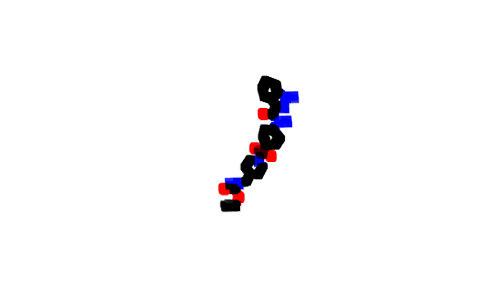 CC(C)(C)OC(=O)NCC1CCN(S(=O)(=O)c2ccc(NC(=O)c3n[nH]c4ccccc34)cc2)CC1